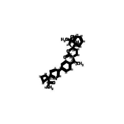 C[C@@H](c1ccc(-c2ccc(C3(C(N)=O)CCC3)nc2)cc1)N1CC[C@](CC(C)(C)O)(c2ccccc2)OC1=O